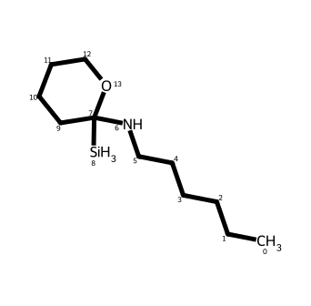 CCCCCCNC1([SiH3])CCCCO1